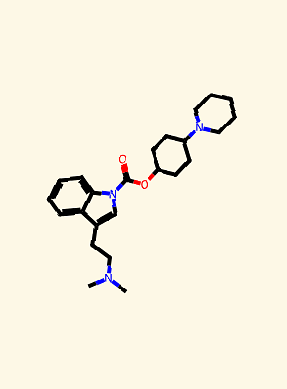 CN(C)CCc1cn(C(=O)OC2CCC(N3CCCCC3)CC2)c2ccccc12